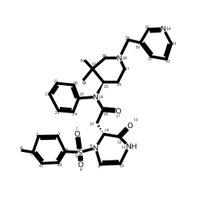 Cc1ccc(S(=O)(=O)N2C=CNC(=O)[C@H]2CC(=O)N(c2ccccc2)[C@@H]2CCN(Cc3cccnc3)CC2(C)C)cc1